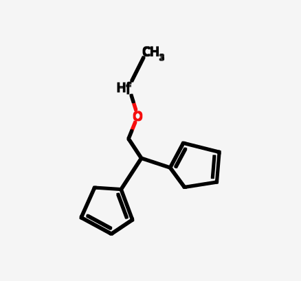 [CH3][Hf][O]CC(C1=CC=CC1)C1=CC=CC1